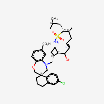 CO[C@H](C)C[C@H]([C@@H](C)C/C=C/C(O)[C@@H]1CC[C@H]1CN1C[C@@]2(CCCc3cc(Cl)ccc32)COc2ccc(C(=O)O)cc21)S(N)(=O)=O